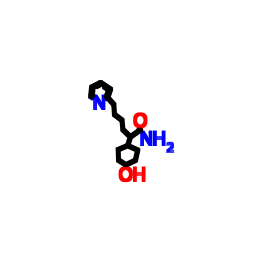 NC(=O)C(CCCCc1ccccn1)C1CCC(O)CC1